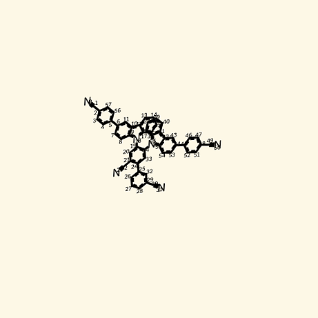 N#Cc1ccc(-c2ccc3c(c2)c2ccccc2n3-c2cc(C#N)c(-c3cccc(C#N)c3)cc2-n2c3ccccc3c3cc(-c4ccc(C#N)cc4)ccc32)cc1